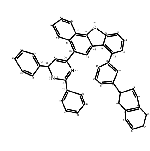 C1=CC2=C(C=CC(c3cccc(-c4cccc5oc6c7ccccc7c(C7=CC(c8ccccc8)NC(c8ccccc8)=N7)cc6c45)c3)C2)CC1